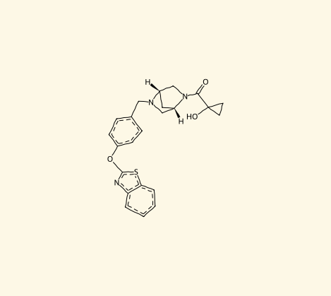 O=C(N1C[C@@H]2C[C@H]1CN2Cc1ccc(Oc2nc3ccccc3s2)cc1)C1(O)CC1